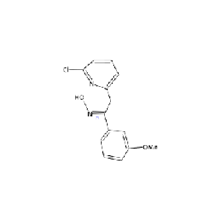 COc1cccc(/C(Cc2cccc(Cl)n2)=N/O)c1